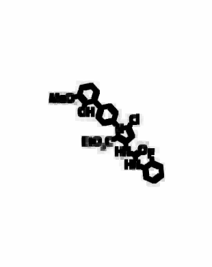 CCOC(=O)c1c(NC(=O)Nc2ccccc2F)cc(Cl)n1-c1ccc(-c2cccc(OC)c2O)cc1